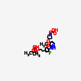 COc1c(OC2CCN(OC(=O)O)CC2)ccnc1Nc1ccc(CCCOP(=O)(O)OC(C)C)cc1F